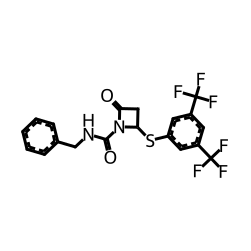 O=C1CC(Sc2cc(C(F)(F)F)cc(C(F)(F)F)c2)N1C(=O)NCc1ccccc1